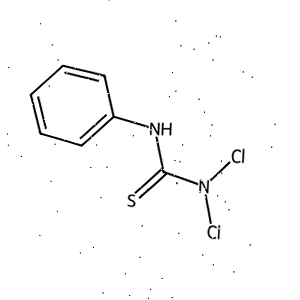 S=C(Nc1ccccc1)N(Cl)Cl